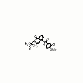 COc1ccc(C(=O)Nc2cccc3c(=O)n(CC(C)(C)O)ccc23)cc1Cl